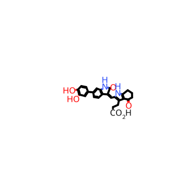 O=C(O)CCc1c(C=C2C(=O)Nc3cc(-c4ccc(O)c(O)c4)ccc32)[nH]c2c1C(=O)CCC2